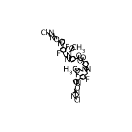 COCCn1c(Cc2cc(F)c(-c3cccc(OCc4cnc(Cl)cn4)n3)cc2F)nc2ccc(C(=O)OC(=O)c3ccc4nc(Cc5cc(F)c(-c6cccc(OCc7cnc(Cl)cn7)n6)cc5F)n(CCOC)c4c3)cc21